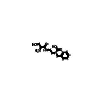 NC(CO)C(=O)NCCN(Cc1ccccc1)C(=O)O